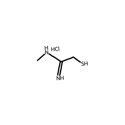 CNC(=N)CS.Cl